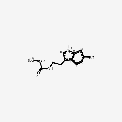 CCc1ccc2c(CCNC(=O)OC(C)(C)C)c[nH]c2c1